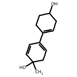 CC1(O)C=CC(C2=CCC(O)CC2)=CC1